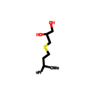 CCCC(CCSCC(O)CO)OC